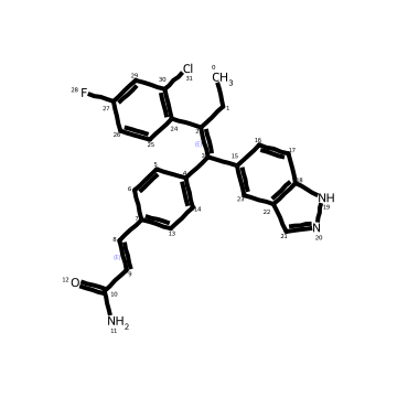 CC/C(=C(/c1ccc(/C=C/C(N)=O)cc1)c1ccc2[nH]ncc2c1)c1ccc(F)cc1Cl